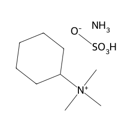 C[N+](C)(C)C1CCCCC1.N.O=S(=O)([O-])O